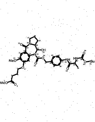 COC(=O)CCCOc1cc2c(cc1OC)C(=O)N1CCCC1C(O)N2C(=O)OCc1ccc(NC(=O)C(C)NC(=O)OC(C)(C)C)cc1